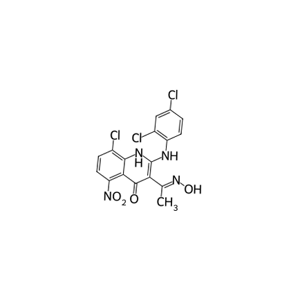 C/C(=N\O)c1c(Nc2ccc(Cl)cc2Cl)[nH]c2c(Cl)ccc([N+](=O)[O-])c2c1=O